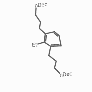 [CH2]Cc1c(CCCCCCCCCCCCC)cccc1CCCCCCCCCCCCC